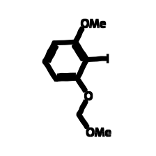 COCOc1cccc(OC)c1I